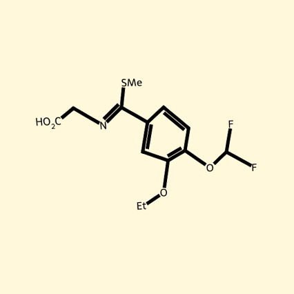 CCOc1cc(C(=NCC(=O)O)SC)ccc1OC(F)F